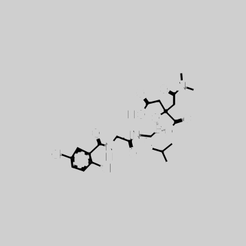 CC(C)C[C@H](NC(=O)CNC(=O)c1cc(Cl)ccc1Cl)B1OC(=O)C(CC(=O)O)(CC(=O)N(C)C)O1